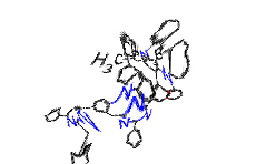 CC(C)(C)c1ccc2c(c1)c1ccccc1n2-c1ccc(-c2cc(-c3ccccc3)nc(-c3ccccc3)n2)cc1-c1nc(-c2ccccc2)nc(-c2cccc(-c3ccc4c5c3N(c3ccccc3)c3ccccc3B5c3ccccc3N4c3ccccc3)c2)n1